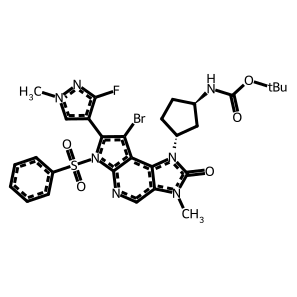 Cn1cc(-c2c(Br)c3c(ncc4c3n([C@@H]3CC[C@@H](NC(=O)OC(C)(C)C)C3)c(=O)n4C)n2S(=O)(=O)c2ccccc2)c(F)n1